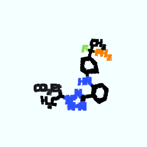 CCOC(=O)C(C)n1nnc(-c2ccccc2Nc2ccc(C(C)(F)P)cc2)n1